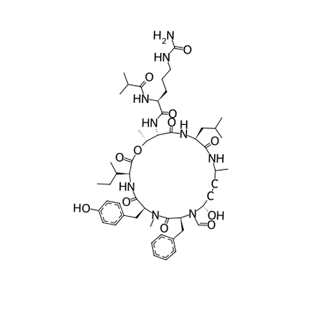 CCC(C)[C@@H]1NC(=O)[C@H](Cc2ccc(O)cc2)N(C)C(=O)[C@H](Cc2ccccc2)N(C=O)[C@@H](O)CCC(C)NC(=O)[C@H](CC(C)C)NC(=O)[C@@H](NC(=O)[C@H](CCCNC(N)=O)NC(=O)C(C)C)[C@@H](C)OC1=O